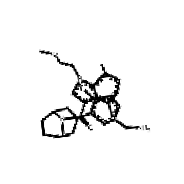 COCCn1cc(C(=O)N2C3CCC2CC(c2cc(CN)ccc2F)C3)c2c(F)ccc(C)c21